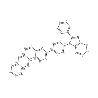 C1=Cc2c(nc(-c3ccccc3)n2-c2ccc(-c3ccc4c(ccc5cc6ccccc6cc54)c3)cc2)CC1